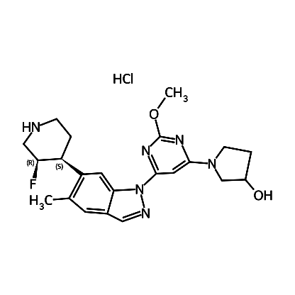 COc1nc(N2CCC(O)C2)cc(-n2ncc3cc(C)c([C@@H]4CCNC[C@@H]4F)cc32)n1.Cl